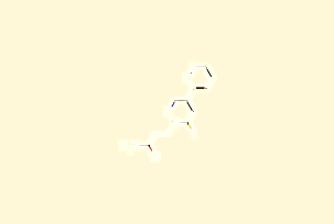 NC(=O)CCn1ncc(-c2cccnn2)cc1=S